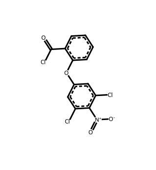 O=C(Cl)c1ccccc1Oc1cc(Cl)c([N+](=O)[O-])c(Cl)c1